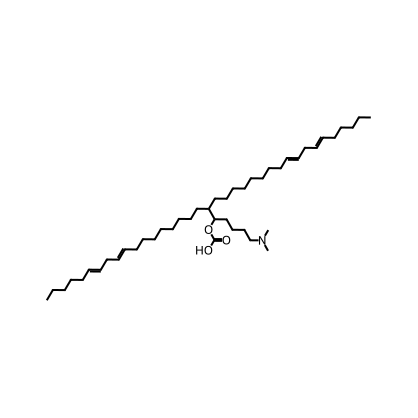 CCCCCC=CCC=CCCCCCCCCC(CCCCCCCCC=CCC=CCCCCC)C(CCCCN(C)C)OC(=O)O